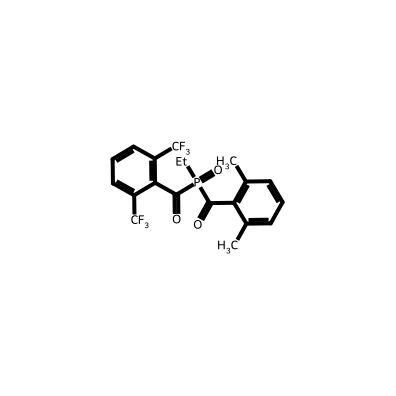 CCP(=O)(C(=O)c1c(C)cccc1C)C(=O)c1c(C(F)(F)F)cccc1C(F)(F)F